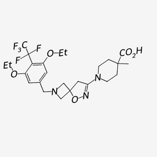 CCOc1cc(CN2CC3(CC(N4CCC(C)(C(=O)O)CC4)=NO3)C2)cc(OCC)c1C(F)(F)C(F)(F)F